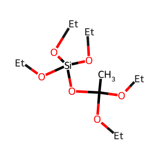 CCOC(C)(OCC)O[Si](OCC)(OCC)OCC